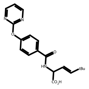 CC(C)(C)C=CC(NC(=O)c1ccc(Oc2ncccn2)cc1)C(=O)O